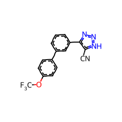 N#Cc1[nH]nnc1-c1cccc(-c2ccc(OC(F)(F)F)cc2)c1